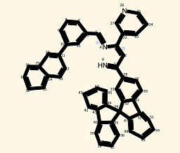 N=C(/C=C(\N=C\c1cccc(-c2ccc3ccccc3c2)c1)c1cccnc1)c1ccc2c(c1)C1(c3ccccc3-c3ccccc31)c1ccccc1-2